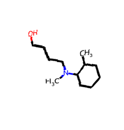 CC1CCCCC1N(C)CCCCO